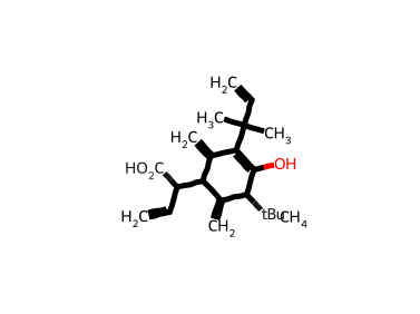 C.C=CC(C(=O)O)C1C(=C)C(C(C)(C)C=C)=C(O)C(C(C)(C)C)C1=C